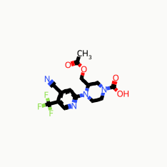 CC(=O)OCC1CN(C(=O)O)CCN1c1cc(C#N)c(C(F)(F)F)cn1